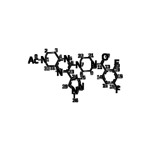 CC(=O)N1CCc2nc(N3CCN(C(=O)c4ccc(F)cc4F)CC3)c(-c3cnn(C)c3)nc2C1